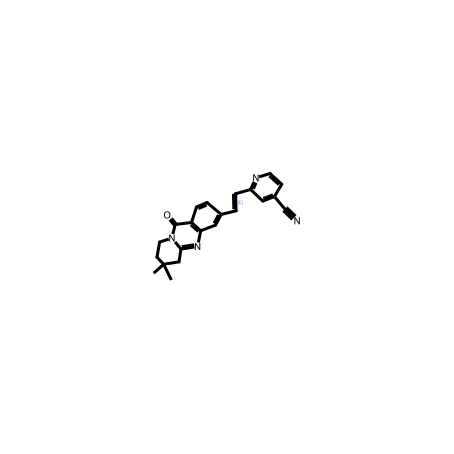 CC1(C)CCn2c(nc3cc(/C=C/c4cc(C#N)ccn4)ccc3c2=O)C1